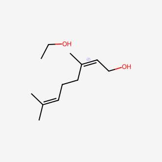 CC(C)=CCC/C(C)=C\CO.CCO